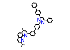 Cc1cc(-c2cccc(C3C=CC(c4nc(-c5ccccc5)cc(-c5ccc(-c6ccccc6)cc5)n4)=CC3)c2)nc2c1ccc1ccc(C(C)C)nc12